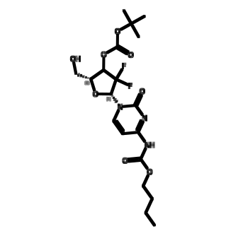 CCCCOC(=O)Nc1ccn([C@@H]2O[C@H](CO)C(OC(=O)OC(C)(C)C)C2(F)F)c(=O)n1